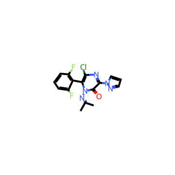 CC(C)=Nn1c(-c2c(F)cccc2F)c(Cl)nc(-n2cccn2)c1=O